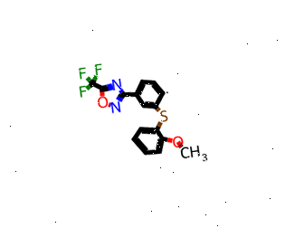 COc1ccccc1Sc1[c]ccc(-c2noc(C(F)(F)F)n2)c1